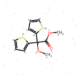 COC(=O)C(OC)(c1cccs1)c1cccs1